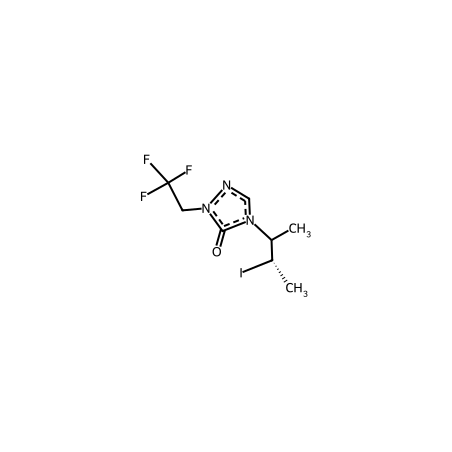 CC([C@H](C)I)n1cnn(CC(F)(F)F)c1=O